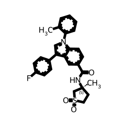 Cc1ccccc1-n1cc(-c2ccc(F)cc2)c2cc(C(=O)N[C@@]3(C)CCS(=O)(=O)C3)ccc21